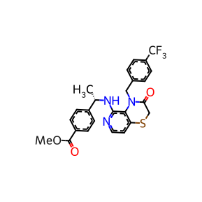 COC(=O)c1ccc([C@H](C)Nc2nccc3c2N(Cc2ccc(C(F)(F)F)cc2)C(=O)CS3)cc1